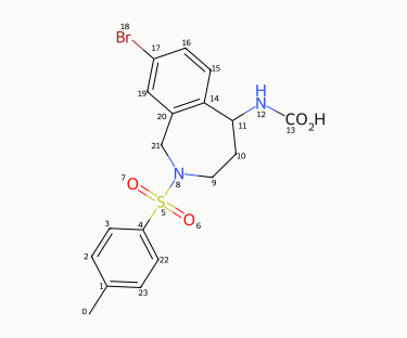 Cc1ccc(S(=O)(=O)N2CCC(NC(=O)O)c3ccc(Br)cc3C2)cc1